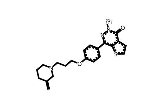 C=C1CCCN(CCCOc2ccc(-c3nn(C(C)C)c(=O)c4ccsc34)cc2)C1